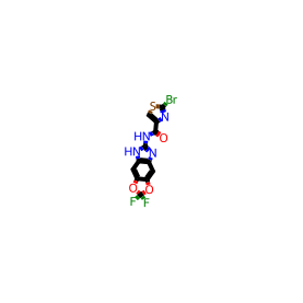 O=C(Nc1nc2cc3c(cc2[nH]1)OC(F)(F)O3)c1csc(Br)n1